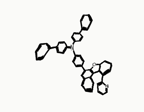 C1=CC2Oc3c(-c4ccc(N(c5ccc(-c6ccccc6)cc5)c5ccc(-c6ccccc6)cc5)cc4)cc4ccccc4c3C2C(c2ccccn2)=C1